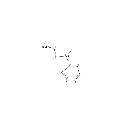 CCC(C)CO[C@H](C)c1ccccc1